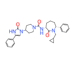 O=C(N[C@@H]1CCC[C@H](c2ccccc2)N(CC2CC2)C1=O)N1CCC(n2cc(-c3ccccc3)[nH]c2=O)CC1